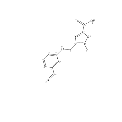 Cc1oc(C(=O)O)cc1COc1cccc(C=O)c1